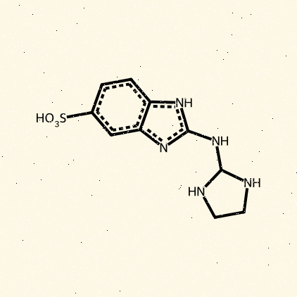 O=S(=O)(O)c1ccc2[nH]c(NC3NCCN3)nc2c1